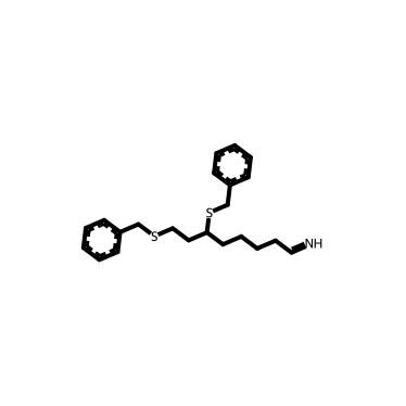 N=CCCCCC(CCSCc1ccccc1)SCc1ccccc1